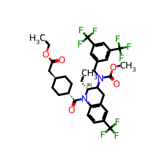 CCOC(=O)C[C@H]1CC[C@H](C(=O)N2c3ccc(C(F)(F)F)cc3CC(N(Cc3cc(C(F)(F)F)cc(C(F)(F)F)c3)C(=O)OC)[C@H]2CC)CC1